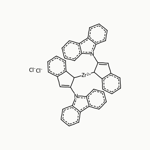 C1=C(n2c3ccccc3c3ccccc32)[CH]([Zr+2][CH]2C(n3c4ccccc4c4ccccc43)=Cc3ccccc32)c2ccccc21.[Cl-].[Cl-]